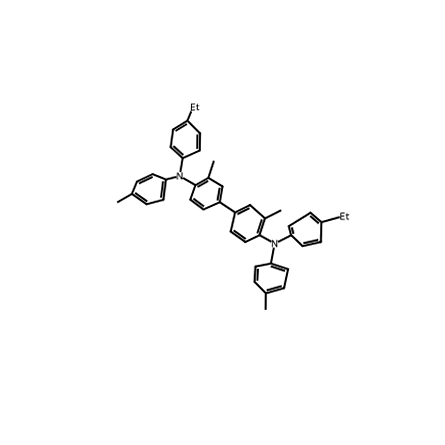 CCc1ccc(N(c2ccc(C)cc2)c2ccc(-c3ccc(N(c4ccc(C)cc4)c4ccc(CC)cc4)c(C)c3)cc2C)cc1